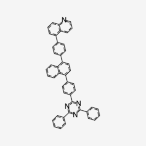 c1ccc(-c2nc(-c3ccccc3)nc(-c3ccc(-c4ccc(-c5ccc(-c6cccc7ncccc67)cc5)c5ccccc45)cc3)n2)cc1